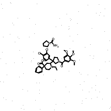 CCN1CCC(C(=O)O)(c2ccccc2)CC1C1(c2ccc(Cl)c(Cl)c2)CCN(C(=O)c2cc(OC)c(OC)c(OC)c2)C1.NC(=O)N1CCCC1